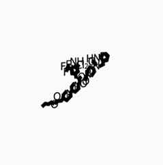 CCCCOC(=O)CC1CCN(C2CCN(C(=O)[C@@H](Cc3cc(Cl)c(N)c(C(F)(F)F)c3)OC(=O)N3CCC(N4CCc5ccccc5NC4=O)CC3)CC2)CC1